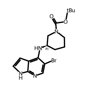 CC(C)(C)OC(=O)N1CCC[C@@H](Nc2c(Br)cnc3[nH]ccc23)C1